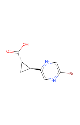 O=C(O)[C@H]1C[C@@H]1c1cnc(Br)cn1